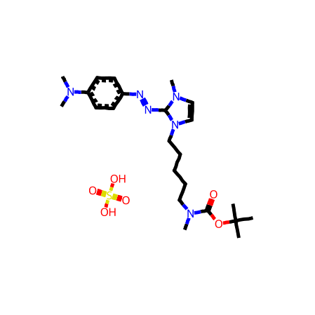 CN(CCCCCN1C=CN(C)C1/N=N/c1ccc(N(C)C)cc1)C(=O)OC(C)(C)C.O=S(=O)(O)O